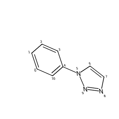 [c]1cccc(-n2ccnn2)c1